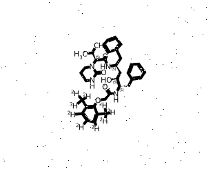 [2H]c1c([2H])c(C([2H])([2H])[2H])c(OCC(=O)N[C@@H](Cc2ccccc2)[C@@H](O)C[C@H](Cc2ccccc2)NC(=O)[C@H](C(C)C)N2CCCNC2=O)c(C([2H])([2H])[2H])c1[2H]